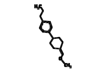 CCCc1ccc(C2CCC(=COC)CC2)cc1